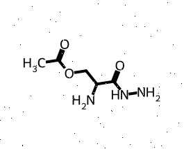 CC(=O)OCC(N)C(=O)NN